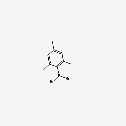 Cc1cc(C)c(B(Br)Br)c(C)c1